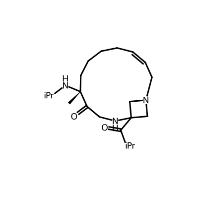 CC(C)N[C@]1(C)CCCCC=CCN2CC(C(=O)C(C)C)(C2)NCC1=O